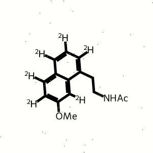 [2H]c1c([2H])c(CCNC(C)=O)c2c([2H])c(OC)c([2H])c([2H])c2c1[2H]